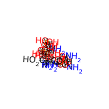 NC(=O)OP(=O)(OC(N)=O)OC(N)=O.NCCC(O)(P(=O)(O)O)P(=O)(O)O.N[C@@H](CCC(=O)O)C(=O)O.O=P(O)(O)O